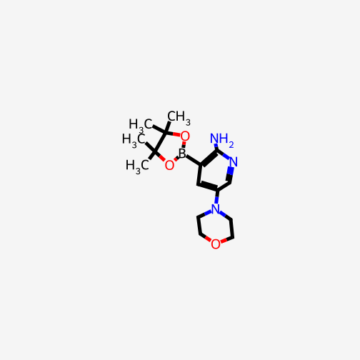 CC1(C)OB(c2cc(N3CCOCC3)cnc2N)OC1(C)C